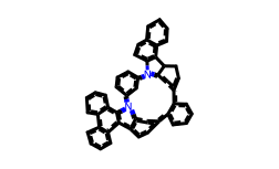 C1=c2cc3n(c4cccc(c4)n4c5cc(ccc5c5c6ccccc6c6ccccc6c54)c4ccccc24)-c2ccc4ccccc4c2C3C1